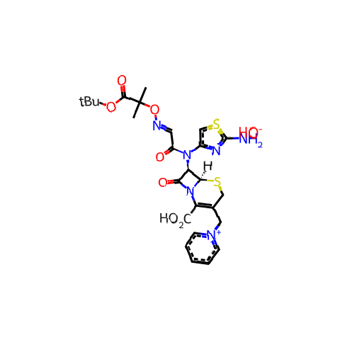 CC(C)(C)OC(=O)C(C)(C)ON=CC(=O)N(c1csc(N)n1)[C@@H]1C(=O)N2C(C(=O)O)=C(C[n+]3ccccc3)CS[C@H]12.[OH-]